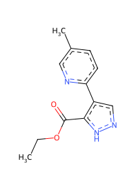 CCOC(=O)c1[nH]ncc1-c1ccc(C)cn1